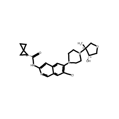 C[C@@]1(N2CCN(c3cc4cc(NC(=O)[C@@H]5CC56CC6)ncc4cc3Cl)CC2)COC[C@@H]1O